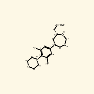 CC(=O)NC[C@H]1CN(c2cc(F)c(N3CCOCC3)c(F)c2)COCO1